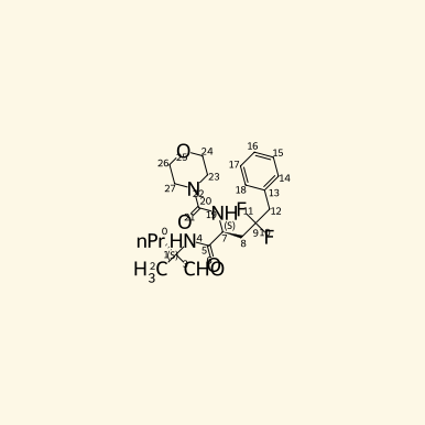 CCC[C@@](C)(C=O)NC(=O)[C@H](CC(F)(F)Cc1ccccc1)NC(=O)N1CCOCC1